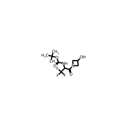 CC(C)(C)OC(=O)NC(C(=O)N1CC(O)C1)C(F)(F)F